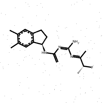 C=C(/N=C(N)\N=C(/C)[C@@H](C)F)N[C@@H]1CCc2cc(C)c(C)cc21